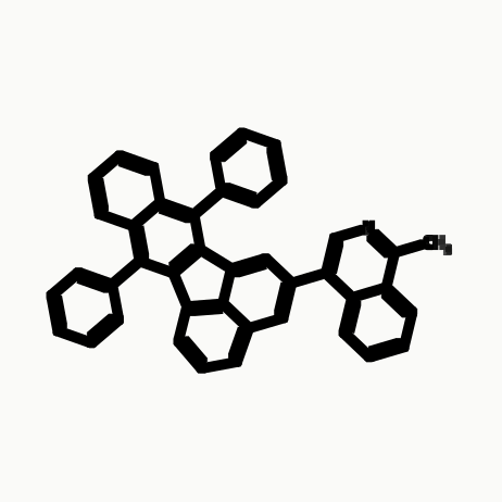 Cc1ncc(-c2cc3c4c(cccc4c2)-c2c-3c(-c3ccccc3)c3ccccc3c2-c2ccccc2)c2ccccc12